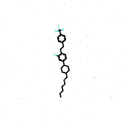 CCCCCCCC1CCC(c2ccc(CCc3ccc(C(F)(F)F)cc3)c(F)c2)CC1